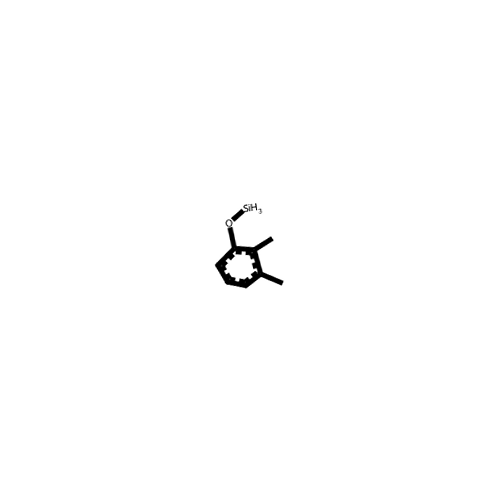 Cc1cccc(O[SiH3])c1C